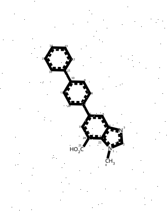 Cn1cnc2cc(-c3ccc(-c4ccccc4)cc3)cc(C(=O)O)c21